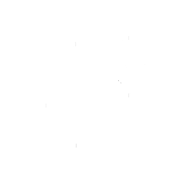 CCn1c(-c2ccc(F)cc2)c(-c2cc(F)cc(F)c2Cl)cc(C)c1=O